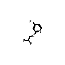 CC(C)c1ccnc(OCC(F)F)c1